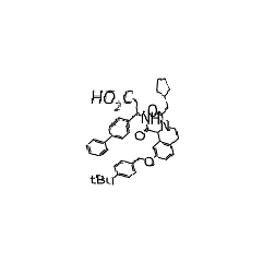 CC(C)(C)c1ccc(COc2ccc3c(c2)C(C(=O)NC(CC(=O)O)c2ccc(-c4ccccc4)cc2)N(C(=O)CC2CCCC2)CC3)cc1